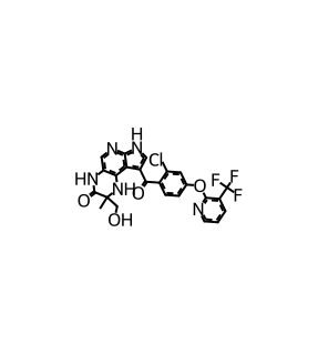 CC1(CO)Nc2c(cnc3[nH]cc(C(=O)c4ccc(Oc5ncccc5C(F)(F)F)cc4Cl)c23)NC1=O